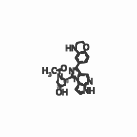 CC(=O)N1C[C@H](O)C[C@@H]1c1nc(-c2ccc3c(c2)NCCO3)c2cnc3[nH]ccc3n12